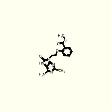 COC(=O)c1ccccc1OCCn1c(=O)[nH]c2c(N)nc(C)nc21